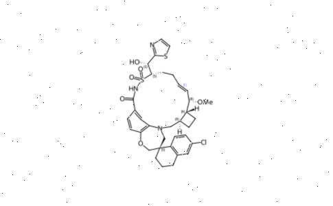 CO[C@H]1/C=C/CC[C@@H]([C@H](O)c2nccs2)S(=O)(=O)NC(=O)c2ccc3c(c2)N(C[C@@H]2CC[C@H]21)C[C@@]1(CCCc2cc(Cl)ccc21)CO3